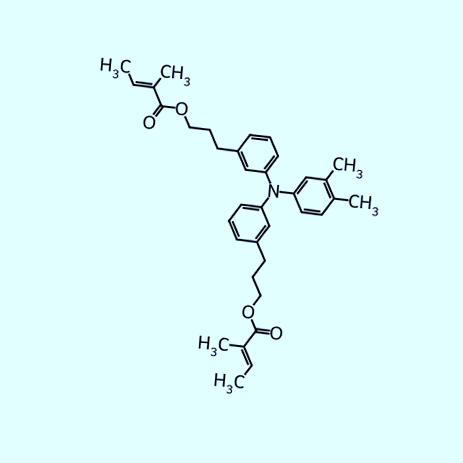 C/C=C(\C)C(=O)OCCCc1cccc(N(c2cccc(CCCOC(=O)/C(C)=C/C)c2)c2ccc(C)c(C)c2)c1